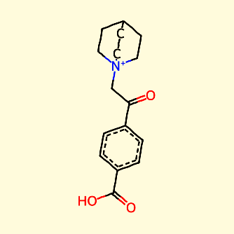 O=C(O)c1ccc(C(=O)C[N+]23CCC(CC2)CC3)cc1